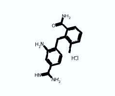 Cc1cccc(C(N)=O)c1Cc1ccc(C(=N)N)cc1N.Cl